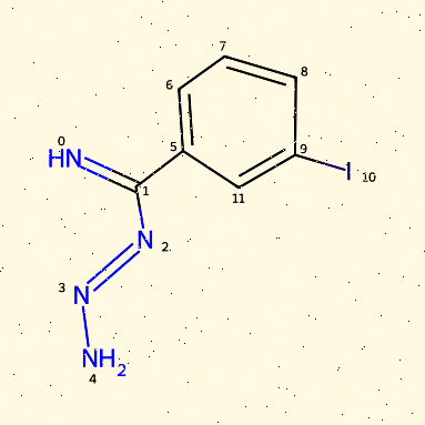 N=C(N=NN)c1cccc(I)c1